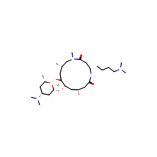 C[C@H]1CN(C)C(=O)C[C@H](CCCCN(C)C)NC(=O)[C@H](C)[C@@H](O)[C@H](C)[C@@H](O[C@@H]2O[C@H](C)C[C@H](N(C)C)[C@H]2O)[C@](C)(O)C1